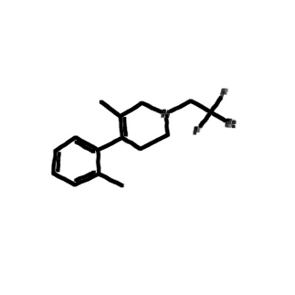 CCC(F)(F)CN1CCC(c2ccccc2C)=C(C)C1